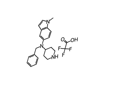 Cn1ccc2cc(N(Cc3ccccc3)C3CCNCC3)ccc21.O=C(O)C(F)(F)F